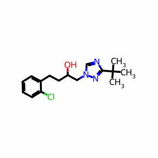 CC(C)(C)c1ncn(CC(O)CCc2ccccc2Cl)n1